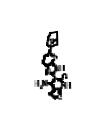 CN1C2CCC1CC(c1ccc3nc(-c4c(N)c5ccsc5[nH]c4=O)[nH]c3n1)C2